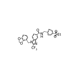 CCS(=O)(=O)c1ccc(CNC(=O)c2ccc3c(c2)nc(C(F)(F)F)n3Cc2cccc3c2OCO3)cc1